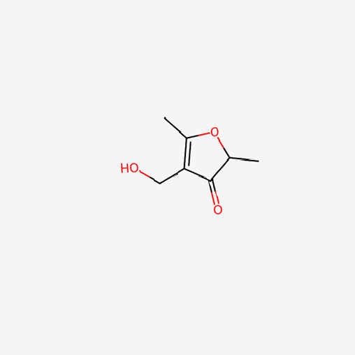 CC1=C(CO)C(=O)C(C)O1